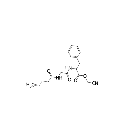 C=CCCC(=O)NCC(=O)NC(Cc1ccccc1)C(=O)OCC#N